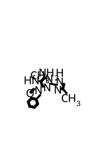 CCc1c[nH]c(-c2nc(N)c(NC)c(N(C=O)Cc3ccccc3)n2)n1